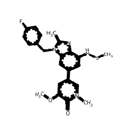 COc1cc(-c2cc(NSC)c3nc(C)n(Cc4ccc(F)cc4)c3c2)cn(C)c1=O